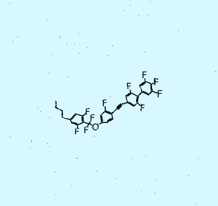 CCCCc1cc(F)c(C(F)(F)Oc2ccc(C#Cc3cc(F)c(-c4cc(F)c(F)c(F)c4)c(F)c3)c(F)c2)c(F)c1